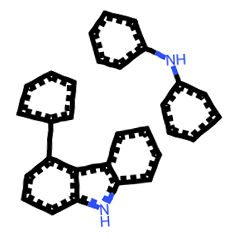 c1ccc(-c2cccc3[nH]c4ccccc4c23)cc1.c1ccc(Nc2ccccc2)cc1